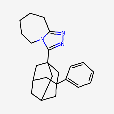 c1ccc(C23CC4CC(C2)CC(c2nnc5n2CCCCC5)(C4)C3)cc1